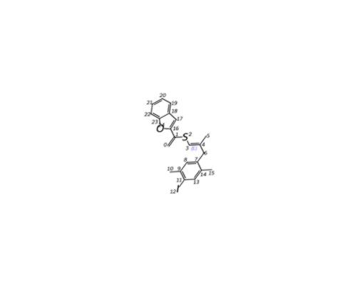 C=C(S/C=C(\C)Cc1cc(C)c(I)cc1C)c1cc2ccccc2o1